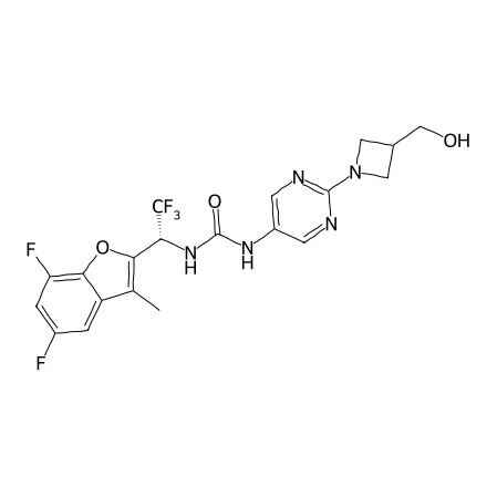 Cc1c([C@@H](NC(=O)Nc2cnc(N3CC(CO)C3)nc2)C(F)(F)F)oc2c(F)cc(F)cc12